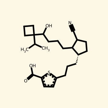 CC(C)C1(C(O)CCCC2C(C#N)CC[C@@H]2CCCc2ccc(C(=O)O)s2)CCC1